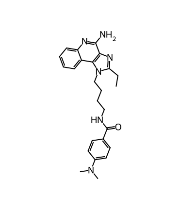 CCc1nc2c(N)nc3ccccc3c2n1CCCCNC(=O)c1ccc(N(C)C)cc1